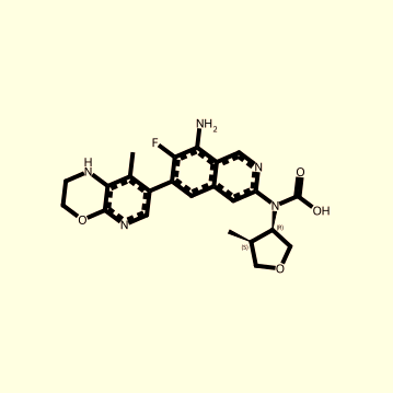 Cc1c(-c2cc3cc(N(C(=O)O)[C@H]4COC[C@H]4C)ncc3c(N)c2F)cnc2c1NCCO2